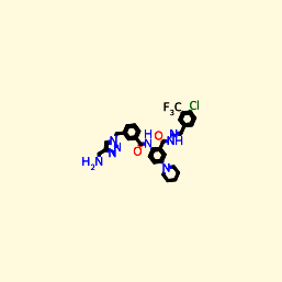 NCc1cn(Cc2cccc(C(=O)Nc3ccc(N4CCCCC4)cc3C(=O)N/N=C/c3ccc(Cl)c(C(F)(F)F)c3)c2)nn1